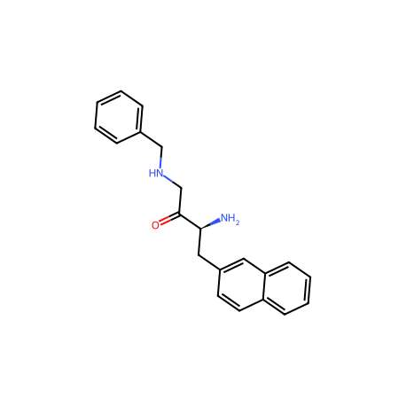 N[C@@H](Cc1ccc2ccccc2c1)C(=O)CNCc1ccccc1